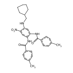 Cc1ccc(C(=O)Nc2cc(NCC3CCCCC3)c([N+](=O)[O-])cc2NC(=O)c2ccc(C)cc2)cc1